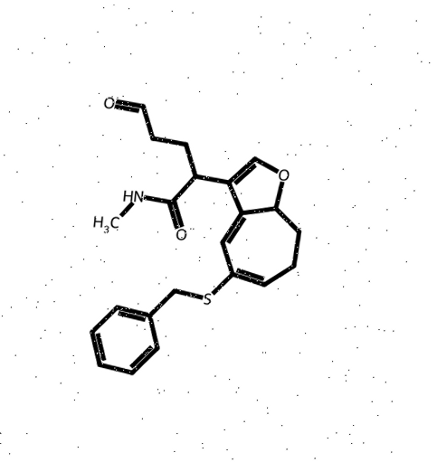 CNC(=O)C(CCC=O)C1=COC2CCC=C(SCc3ccccc3)C=C12